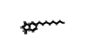 CCCCCCCCc1ccc2[nH]nnc2c1